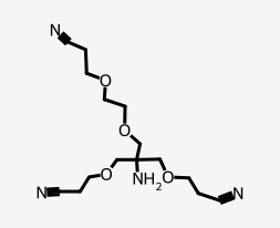 N#CCCOCCOCC(N)(COCCC#N)COCCC#N